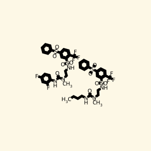 CCCCNC(=O)N(C)CCNS(=O)(=O)c1cc(S(=O)(=O)c2ccccc2)ccc1C(F)(F)F.CN(CCNS(=O)(=O)c1cc(S(=O)(=O)c2ccccc2)ccc1C(F)(F)F)C(=O)Nc1ccc(F)cc1F